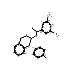 CC(O[C@@H]1CCc2cccnc2[C@H]1c1ccc(F)cc1)c1cc(C(F)(F)F)cc(C(F)(F)F)c1